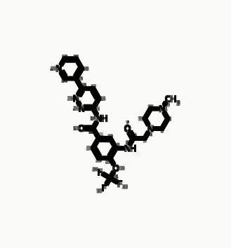 CN1CCN(CC(=O)Nc2cc(C(=O)Nc3ccc(-c4cccnc4)nn3)ccc2OC(F)(F)F)CC1